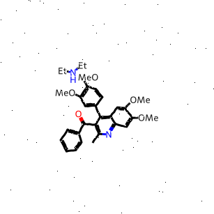 CCNCC.COc1ccc(-c2c(C(=O)c3ccccc3)c(C)nc3cc(OC)c(OC)cc23)cc1OC